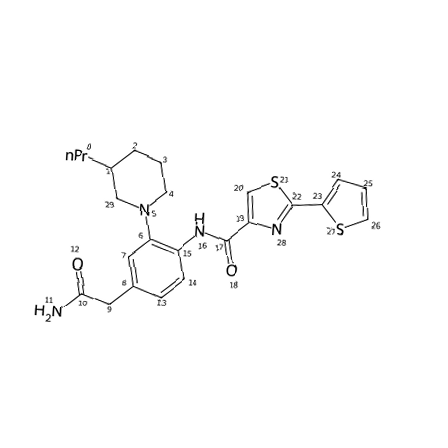 CCCC1CCCN(c2cc(CC(N)=O)ccc2NC(=O)c2csc(-c3cccs3)n2)C1